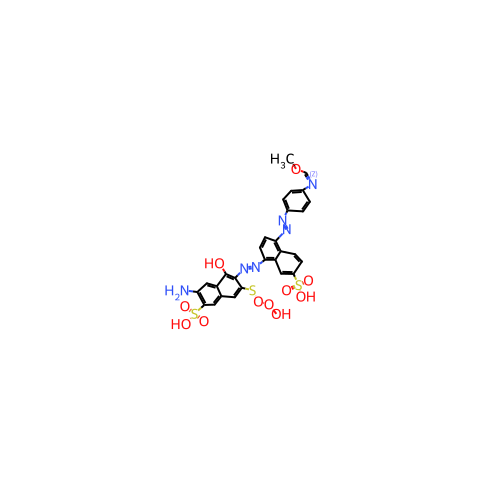 CO/C=N\c1ccc(N=Nc2ccc(N=Nc3c(SOOO)cc4cc(S(=O)(=O)O)c(N)cc4c3O)c3cc(S(=O)(=O)O)ccc23)cc1